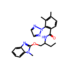 CCC(COc1nc2ccccc2n1C)NC(=O)c1ccc(C)c(C)c1-n1nccn1